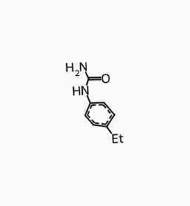 [CH2]Cc1ccc(NC(N)=O)cc1